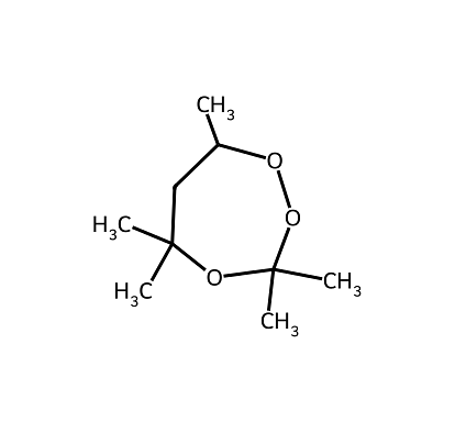 CC1CC(C)(C)OC(C)(C)OO1